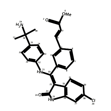 COC(=O)/C=C/c1cccc(/C(Nc2ccc(C(C)(C)N)cc2)=C2/C(=O)Nc3cc(Cl)ccc32)c1